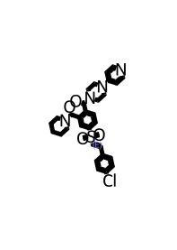 O=C(c1cc(S(=O)(=O)/C=C/c2ccc(Cl)cc2)ccc1C(=O)N1CCN(c2ccncc2)CC1)N1CCCCC1